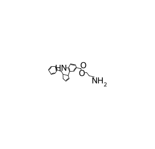 NCCCOC(=O)c1ccc2c(c1)C1C=CCC1C(c1ccccc1)N2